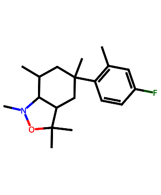 Cc1cc(F)ccc1C1(C)CC(C)C2C(C1)C(C)(C)ON2C